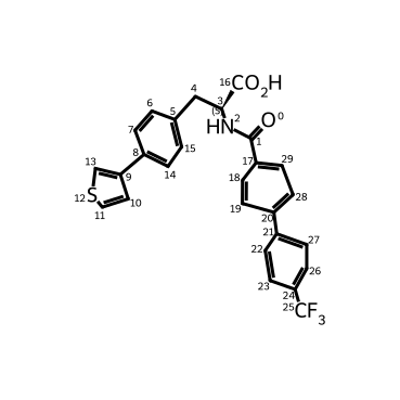 O=C(N[C@@H](Cc1ccc(-c2ccsc2)cc1)C(=O)O)c1ccc(-c2ccc(C(F)(F)F)cc2)cc1